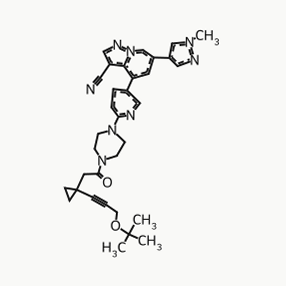 Cn1cc(-c2cc(-c3ccc(N4CCN(C(=O)CC5(C#CCOC(C)(C)C)CC5)CC4)nc3)c3c(C#N)cnn3c2)cn1